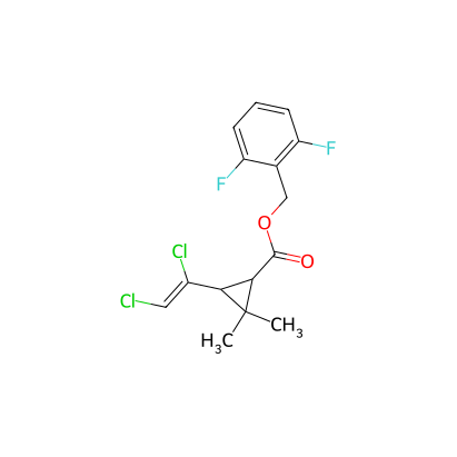 CC1(C)C(C(=O)OCc2c(F)cccc2F)C1/C(Cl)=C/Cl